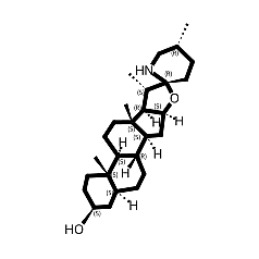 C[C@@H]1CC[C@@]2(NC1)O[C@H]1C[C@H]3[C@@H]4CC[C@H]5C[C@@H](O)CC[C@]5(C)[C@H]4CC[C@]3(C)[C@H]1[C@@H]2C